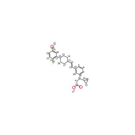 COC(=O)CC(c1cccc(/C=C/C2CCC(c3cc(OC)ccc3F)CC2)c1)C1CC1